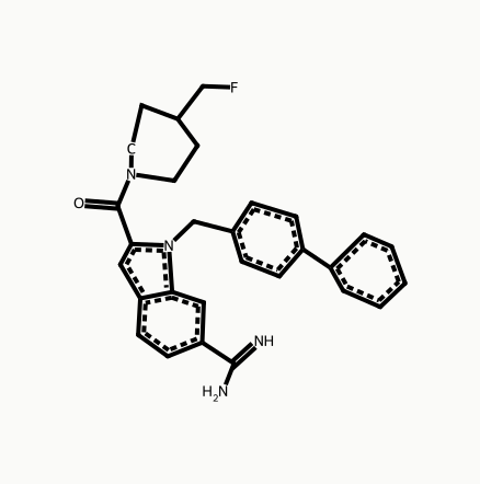 N=C(N)c1ccc2cc(C(=O)N3CCC(CF)CC3)n(Cc3ccc(-c4ccccc4)cc3)c2c1